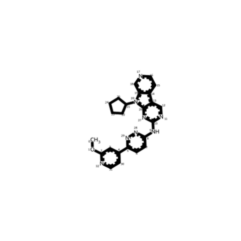 COc1cc(-c2ccc(Nc3ncc4c5ccncc5n(C5CCCC5)c4n3)nn2)ccn1